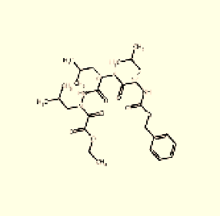 CCOC(=O)C(=O)N(CC(C)C)NC(=O)[C@H](CC(C)C)NC(=O)[C@H](CC(C)C)NC(=O)OCc1ccccc1